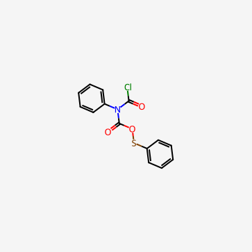 O=C(Cl)N(C(=O)OSc1ccccc1)c1ccccc1